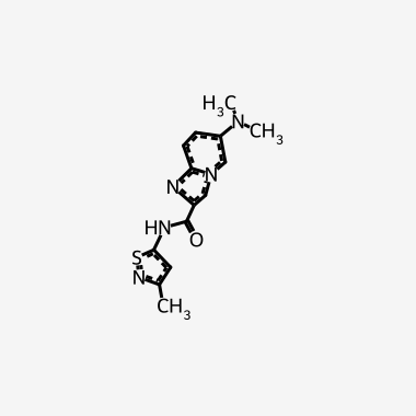 Cc1cc(NC(=O)c2cn3cc(N(C)C)ccc3n2)sn1